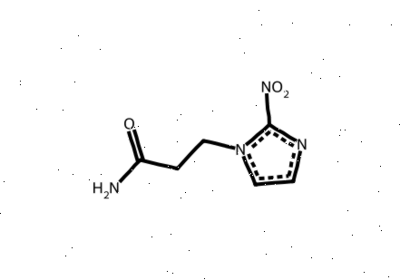 NC(=O)CCn1ccnc1[N+](=O)[O-]